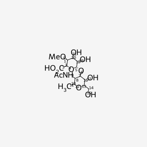 CO[C@@H]1C(C(=O)O)O[C@@H](O[C@@H]2C(NC(C)=O)[C@H](C)OC(CO)[C@H]2O)[C@@H](O)C1O